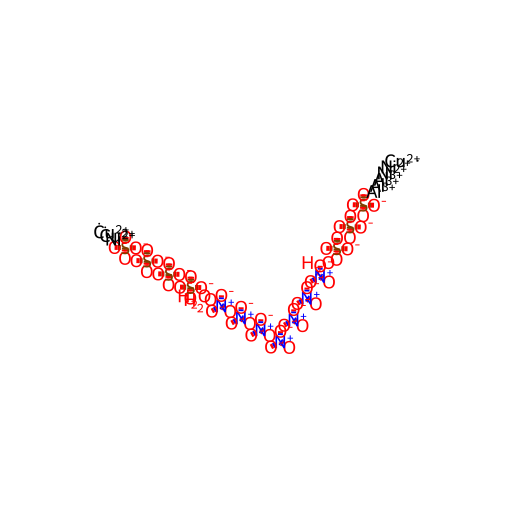 O.O.O.O=S(=O)([O-])[O-].O=S(=O)([O-])[O-].O=S(=O)([O-])[O-].O=S(=O)([O-])[O-].O=S(=O)([O-])[O-].O=S(=O)([O-])[O-].O=S(=O)([O-])[O-].O=[N+]([O-])[O-].O=[N+]([O-])[O-].O=[N+]([O-])[O-].O=[N+]([O-])[O-].O=[N+]([O-])[O-].O=[N+]([O-])[O-].O=[N+]([O-])[O-].[Al+3].[Al+3].[Al+3].[Cu+2].[Cu+2].[Cu+2].[Ni+2].[Ni+2].[Ni+2]